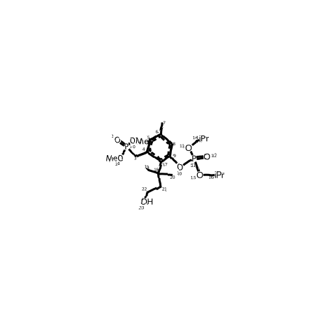 COP(=O)(Cc1cc(C)cc(OP(=O)(OC(C)C)OC(C)C)c1C(C)(C)CCO)OC